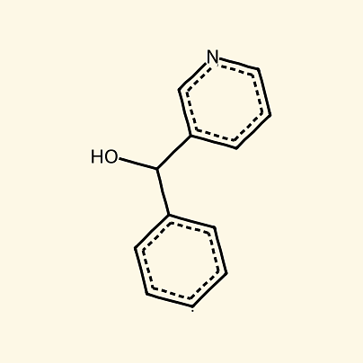 OC(c1cc[c]cc1)c1cccnc1